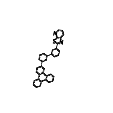 c1cc(-c2cccc(-c3nc4cccnc4s3)c2)cc(-c2ccc3c4ccccc4c4ccccc4c3c2)c1